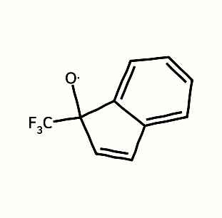 [O]C1(C(F)(F)F)C=Cc2ccccc21